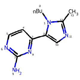 CCCCn1c(-c2ccnc(N)n2)cnc1C